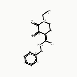 CC(C)CN1CC/C(=C(\Cl)NCc2ccccc2)C(=N)C1=O